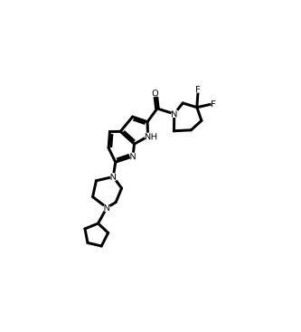 O=C(c1cc2ccc(N3CCN(C4CCCC4)CC3)nc2[nH]1)N1CCCC(F)(F)C1